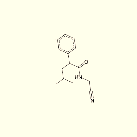 CC(C)CC(C(=O)NCC#N)c1c[c]ccc1